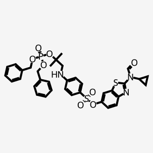 CC(C)(CNc1ccc(S(=O)(=O)Oc2ccc3nc(N(C=O)C4CC4)sc3c2)cc1)OP(=O)(OCc1ccccc1)OCc1ccccc1